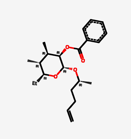 C=CCC[C@@H](C)O[C@@H]1O[C@@H](CC)[C@H](C)[C@@H](C)[C@H]1OC(=O)c1ccccc1